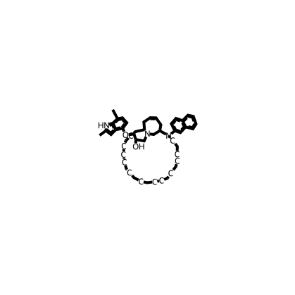 Cc1cc2c(OCC(O)CN3CC4CC=CCC3CCCCCCCCCCCCCCCCCCCCN4c3ccc4ccccc4c3)ccc(C)c2[nH]1